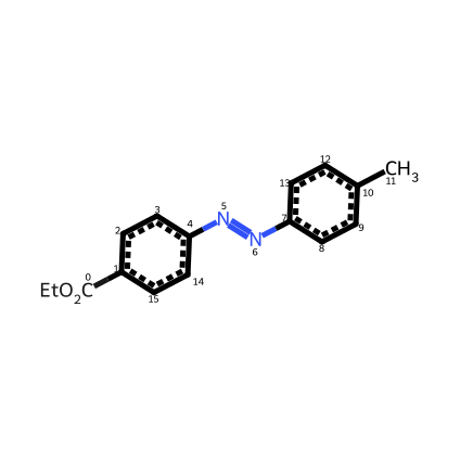 CCOC(=O)c1ccc(N=Nc2ccc(C)cc2)cc1